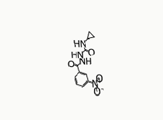 O=C(NNC(=O)c1cccc([N+](=O)[O-])c1)NC1CC1